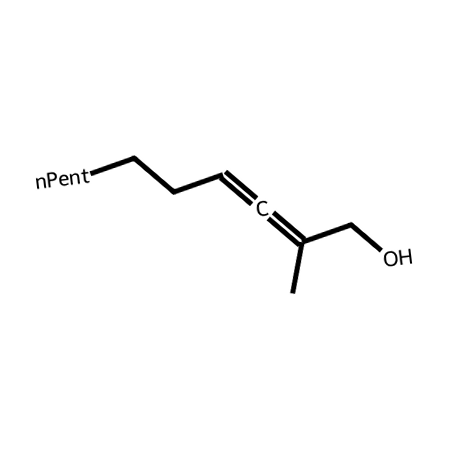 CCCCCCCC=C=C(C)CO